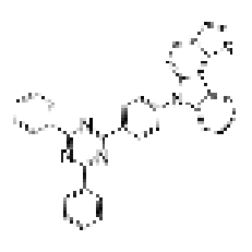 c1ccc(-c2nc(-c3ccccc3)nc(-c3ccc(-n4c5ccccc5c5c6sccc6ccc54)cc3)n2)cc1